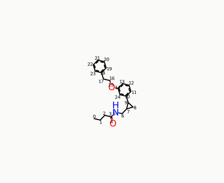 CCCC(=O)NCC1CC1c1cccc(OCCc2ccccc2)c1